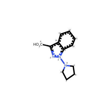 O=C(O)c1nn(N2CCCC2)c2ccccc12